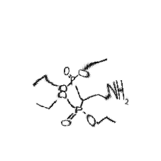 CCOP(=O)(OCC)C(CN)P(=O)(OCC)OCC